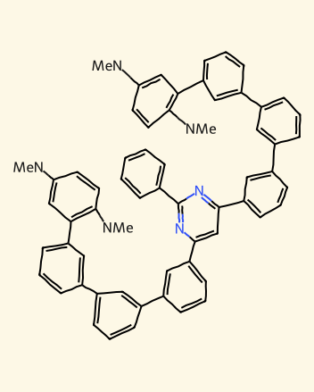 CNc1ccc(NC)c(-c2cccc(-c3cccc(-c4cccc(-c5cc(-c6cccc(-c7cccc(-c8cccc(-c9cc(NC)ccc9NC)c8)c7)c6)nc(-c6ccccc6)n5)c4)c3)c2)c1